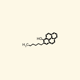 CCCCCCc1cc2ccc3cccc4ccc(c1O)c2c34